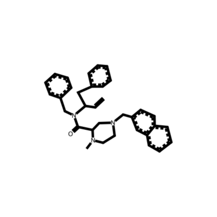 C=CC(Cc1ccccc1)N(Cc1ccccc1)C(=O)C1CN(Cc2ccc3ccccc3c2)CCN1C